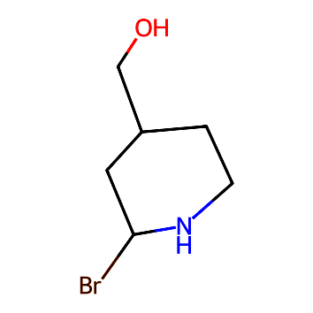 OCC1CCNC(Br)C1